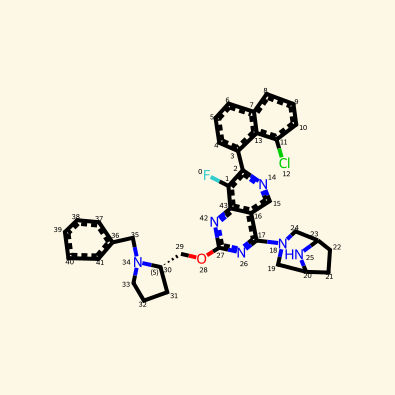 Fc1c(-c2cccc3cccc(Cl)c23)ncc2c(N3CC4CCC(C3)N4)nc(OC[C@@H]3CCCN3Cc3ccccc3)nc12